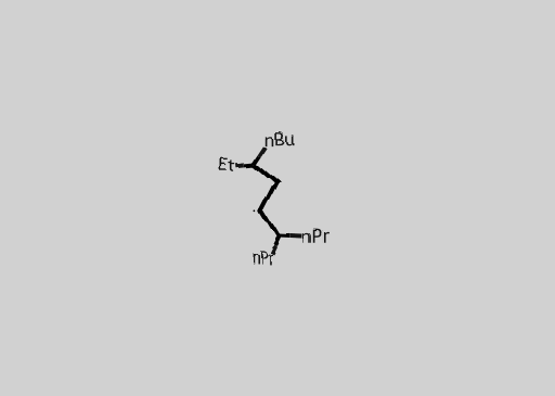 CCCCC(CC)C[CH]C(CCC)CCC